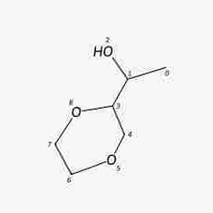 CC(O)C1COCCO1